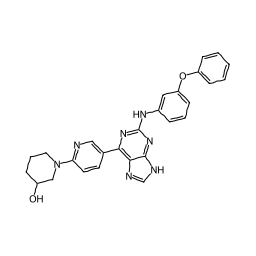 OC1CCCN(c2ccc(-c3nc(Nc4cccc(Oc5ccccc5)c4)nc4[nH]cnc34)cn2)C1